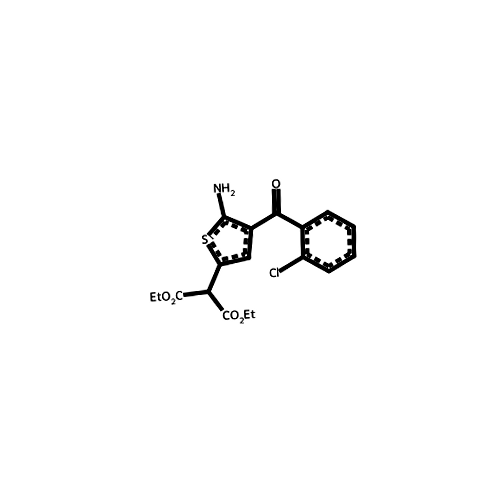 CCOC(=O)C(C(=O)OCC)c1cc(C(=O)c2ccccc2Cl)c(N)s1